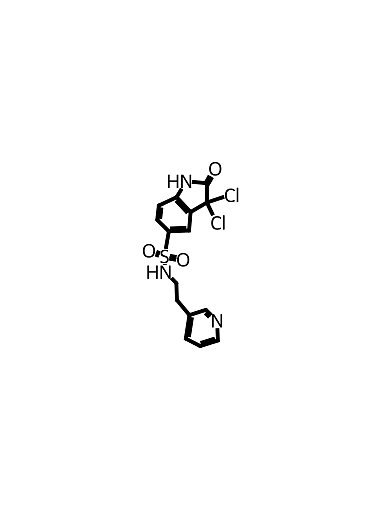 O=C1Nc2ccc(S(=O)(=O)NCCc3cccnc3)cc2C1(Cl)Cl